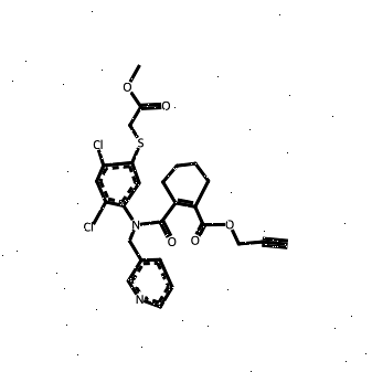 C#CCOC(=O)C1=C(C(=O)N(Cc2cccnc2)c2cc(SCC(=O)OC)c(Cl)cc2Cl)CCCC1